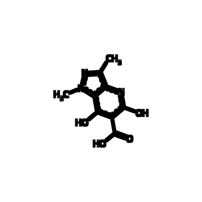 Cc1nn(C)c2c(O)c(C(=O)O)c(O)nc12